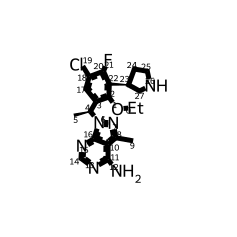 CCOc1c([C@H](C)n2nc(C)c3c(N)ncnc32)cc(Cl)c(F)c1[C@H]1CCNC1